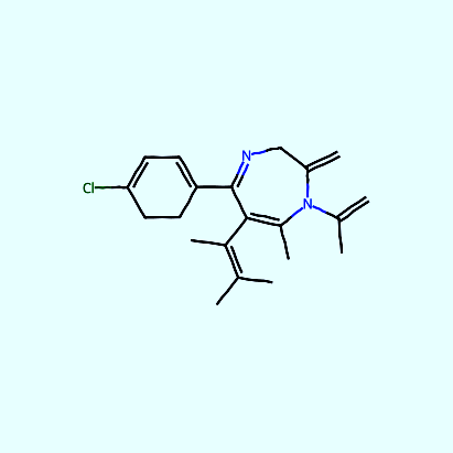 C=C(C)N1C(=C)CN=C(C2=CC=C(Cl)CC2)C(C(C)=C(C)C)=C1C